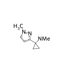 CNC1(c2ccn(C)n2)CC1